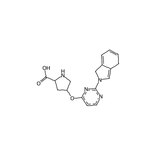 O=C(O)C1CC(Oc2ccnc(N3C=C4CC=CC=C4C3)n2)CN1